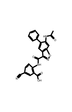 CC(=O)Nc1cc2onc(C(=O)Nc3ccc(C#N)cc3C(=O)O)c2cc1-c1ccccc1